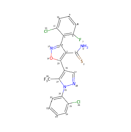 NC(=S)c1c(-c2c(F)cccc2Cl)noc1-c1cnn(-c2ccccc2Cl)c1C(F)(F)F